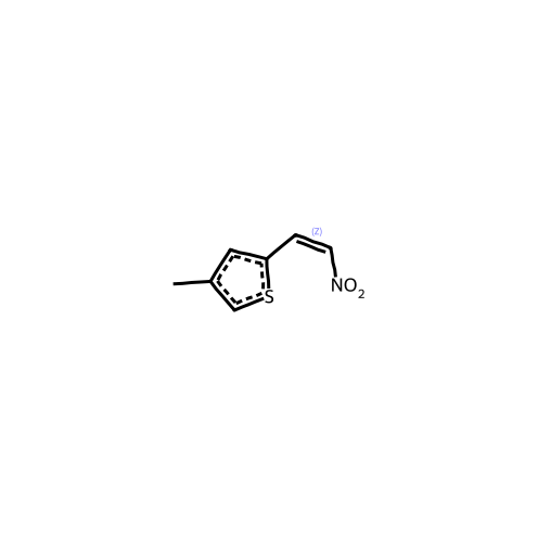 Cc1csc(/C=C\[N+](=O)[O-])c1